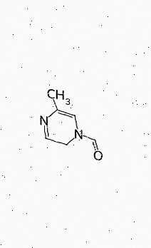 CC1=CN(C=O)CC=N1